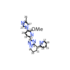 COc1nc(-c2nc3n(n2)CCC[C@@H]3c2ccccn2)ccc1-n1cnc(C)c1